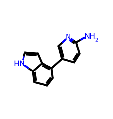 Nc1ccc(-c2cccc3[nH]ccc23)cn1